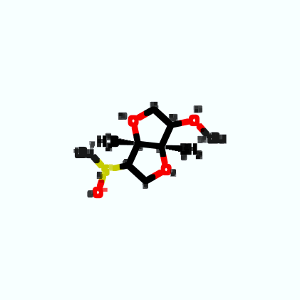 B[C@]12OCC([S+]([O-])C(C)(C)C)[C@@]1(B)OCC2OC(C)(C)C